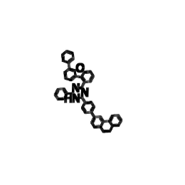 c1ccc(-c2cccc3c2oc2cccc(C4=NC(c5ccccc5)NC(c5ccc(-c6ccc7ccc8ccccc8c7c6)cc5)=N4)c23)cc1